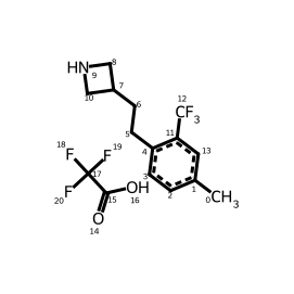 Cc1ccc(CCC2CNC2)c(C(F)(F)F)c1.O=C(O)C(F)(F)F